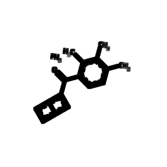 Cc1ccc(C(=O)c2cc3ccc2-3)c(C)c1C.P